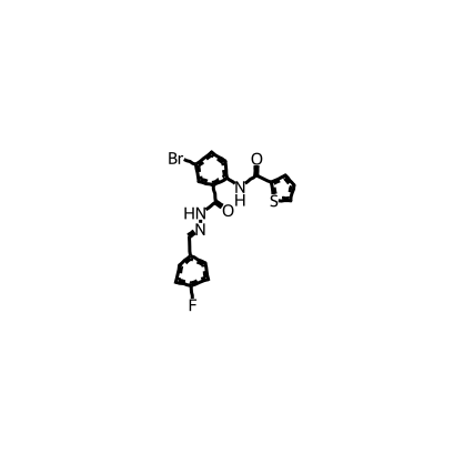 O=C(Nc1ccc(Br)cc1C(=O)NN=Cc1ccc(F)cc1)c1cccs1